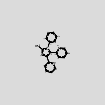 Sc1nc(-c2ccccn2)c(-c2ccccn2)n1-c1ccccc1